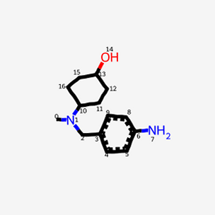 CN(Cc1ccc(N)cc1)C1CCC(O)CC1